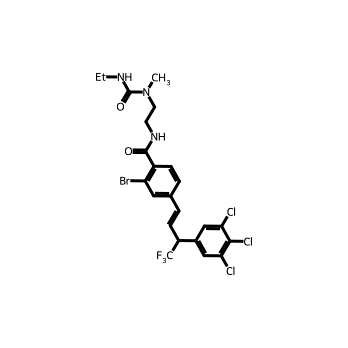 CCNC(=O)N(C)CCNC(=O)c1ccc(/C=C/C(c2cc(Cl)c(Cl)c(Cl)c2)C(F)(F)F)cc1Br